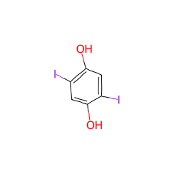 Oc1cc(I)c(O)cc1I